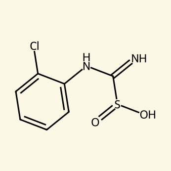 N=C(Nc1ccccc1Cl)S(=O)O